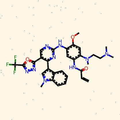 C=CC(=O)Nc1cc(Nc2ncc(-c3nnc(C(F)(F)F)o3)c(-c3cn(C)c4ccccc34)n2)c(OC)cc1N(C)CCN(C)C